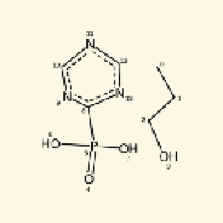 CCCO.O=P(O)(O)c1ncncn1